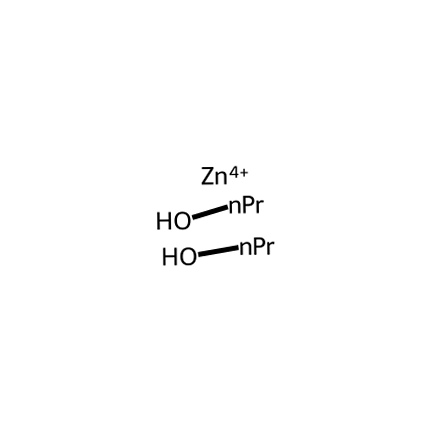 CCCO.CCCO.[Zn+4]